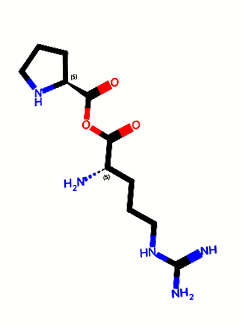 N=C(N)NCCC[C@H](N)C(=O)OC(=O)[C@@H]1CCCN1